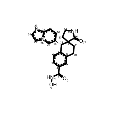 O=C(NO)c1ccc2c(c1)CCC1(CCNC1=O)[C@H]2c1ccc2nccn2c1